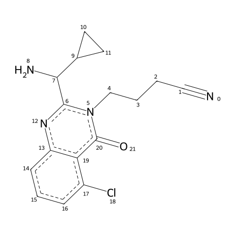 N#CCCCn1c(C(N)C2CC2)nc2cccc(Cl)c2c1=O